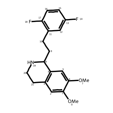 COc1cc2c(cc1OC)C(CCc1cc(F)ccc1F)NCC2